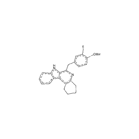 COc1ccc(Cc2nc3c(c4c2[nH]c2ccccc24)CCCC3)cc1F